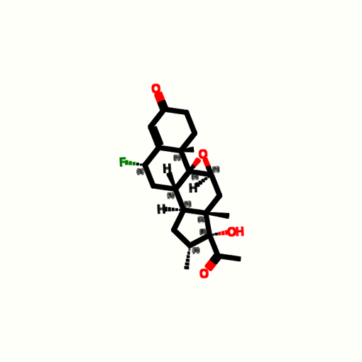 CC(=O)[C@@]1(O)[C@H](C)C[C@H]2[C@@H]3C[C@H](F)C4=CC(=O)CC[C@]4(C)[C@@]34O[C@H]4C[C@@]21C